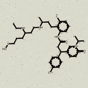 CCNC(CCCSO)CCNC(C)CCc1c(F)cccc1NC(=O)CC(c1ccc(Cl)cc1)c1ccc(=O)n(C(C)C)c1